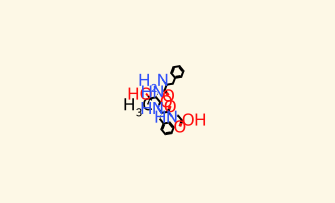 C[C@@H](O)[C@H](NC(=O)[C@@H](N)Cc1ccccc1)C(=O)N[C@@H](Cc1ccccc1)C(=O)NCC(=O)O